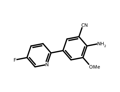 COc1cc(-c2ccc(F)cn2)cc(C#N)c1N